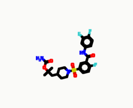 CC(C)(CC1CCN(S(=O)(=O)c2ccc(F)c(C(=O)Nc3ccc(F)c(F)c3)c2)CC1)OC(N)=O